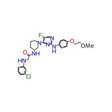 COCCOc1ccc(Nc2ncc(F)c(N3CCCC(NC(=O)CNc4cccc(Cl)c4)C3)n2)cc1